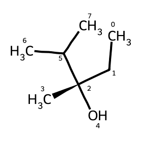 CC[C@](C)(O)C(C)C